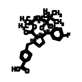 CC(C)(C)OC(=O)N1[C@H](Cc2ccc(C(=O)O)cc2)CC[C@@H]1[C@H](O[Si](C)(C)C(C)(C)C)c1ccc(F)cc1